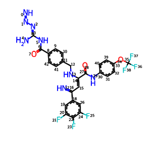 N=N/N=C(\N)NC(=O)c1ccc(CN/C(=C\C(=N)c2cc(F)c(F)c(F)c2)C(=O)Nc2ccc(OC(F)(F)F)cc2)cc1